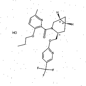 CCCOc1ccc(C)nc1C(=O)N1C[C@@H]2C[C@@H]2C[C@H]1COc1ccc(C(F)(F)F)cn1.Cl